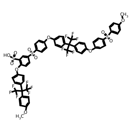 COc1ccc(C(c2ccc(Oc3ccc(S(=O)(=O)c4ccc(Oc5ccc(C(c6ccc(Oc7ccc(S(=O)(=O)c8ccc(OC)cc8)cc7)cc6)(C(F)(F)F)C(F)(F)F)cc5)cc4)cc3S(=O)(=O)O)cc2)(C(F)(F)F)C(F)(F)F)cc1